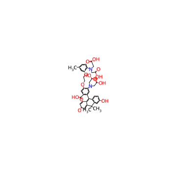 Cc1ccc(N(CC(=O)O)CC(=O)O)c(OCCOc2cc(C(=O)O)c(C3=C4C=CC(=O)C=C4C(C)(C)c4cc(O)ccc43)cc2N(CC(=O)O)CC(=O)O)c1